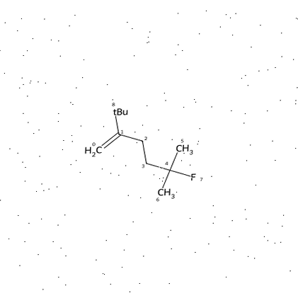 C=C(CCC(C)(C)F)C(C)(C)C